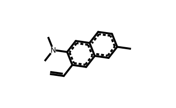 C=Cc1cc2cc(C)ccc2cc1N(C)C